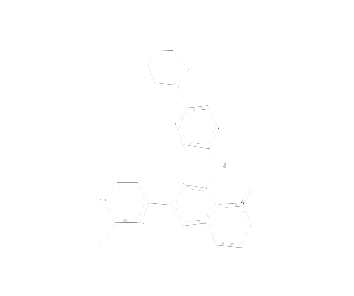 Cc1cccc(-c2cc3cc[nH]c(=O)c3c(Nc3ccc(N4CCOCC4)cc3)n2)n1